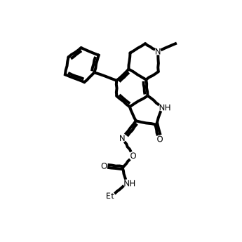 CCNC(=O)ON=C1C(=O)Nc2c1cc(-c1ccccc1)c1c2CN(C)CC1